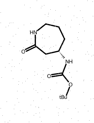 CC(C)(C)OC(=O)N[C@H]1CCCNC(=O)C1